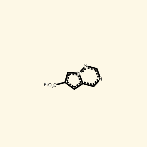 CCOC(=O)c1cc2cncnn2c1